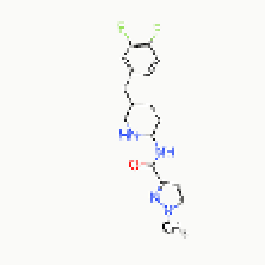 Cn1ccc(C(=O)NC2CCC(Cc3ccc(F)c(F)c3)CN2)n1